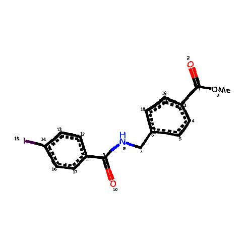 COC(=O)c1ccc(CNC(=O)c2ccc(I)cc2)cc1